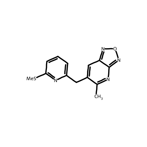 CSc1cccc(Cc2cc3nonc3nc2C)n1